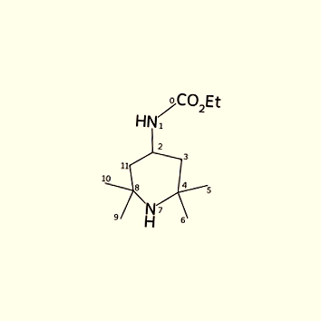 CCOC(=O)NC1CC(C)(C)NC(C)(C)C1